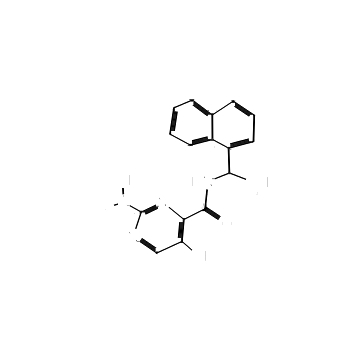 Cc1cnc([S+](C)[O-])nc1C(=O)NC(C)c1cccc2ccccc12